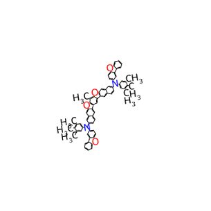 Cc1cc(N(c2ccc3cc4c(cc3c2)oc2c(C)c3oc5cc6cc(N(c7cc(C)c(C)c(C)c7)c7ccc8oc9ccccc9c8c7)ccc6cc5c3cc24)c2ccc3oc4ccccc4c3c2)cc(C)c1C